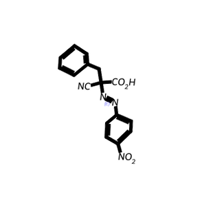 N#CC(Cc1ccccc1)(/N=N/c1ccc([N+](=O)[O-])cc1)C(=O)O